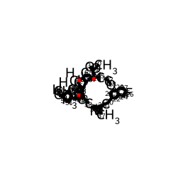 COC(=O)c1c(C)c2c3c(Cl)ccc2n1CCCOc1cc(cc2cc(F)ccc12)CCc1cc(nn1C)CC[C@](C)(OCc1ccc(OC)cc1)c1nn(C)c(C)c1-3